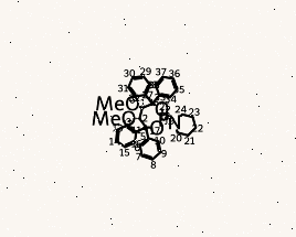 COC1[C@@H](OC)C(c2ccccc2)(c2ccccc2)OP(N2CCCCC2)OC1(c1ccccc1)c1ccccc1